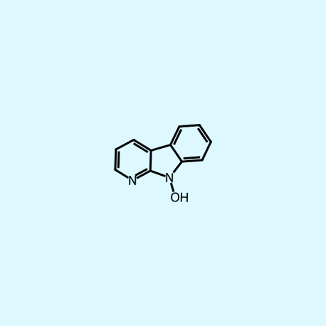 On1c2ccccc2c2cccnc21